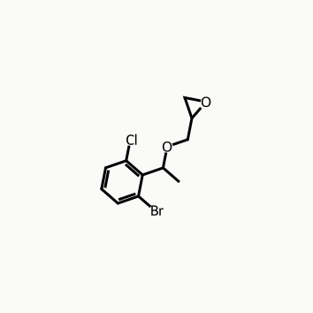 CC(OCC1CO1)c1c(Cl)cccc1Br